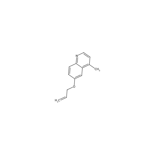 C=CCOc1ccc2nccc(C)c2c1